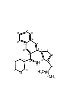 CN(C)CC1=CCC(c2cc3ccccc3cc2C(=N)C2CCCCC2)=C1